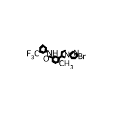 Cc1ccc(C(=O)Nc2cccc(C(F)(F)F)c2)cc1C1CCN(c2ccc(Br)nc2)C1